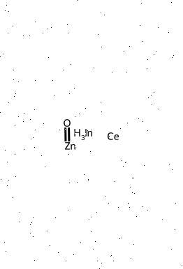 [Ce].[InH3].[O]=[Zn]